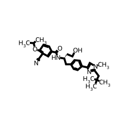 CC(C)Oc1ccc(C(=O)N[C@H](CCO)Cc2ccc(-c3cn(C)c(CC(C)(C)C)n3)cc2)cc1C#N